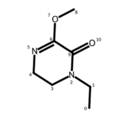 CCN1CCN=C(OC)C1=O